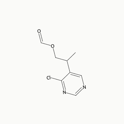 CC(COC=O)c1cncnc1Cl